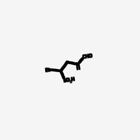 CCC(CNC=O)S(=O)(=O)O